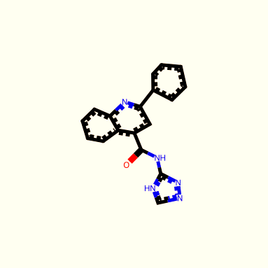 O=C(Nc1nnc[nH]1)c1cc(-c2ccccc2)nc2ccccc12